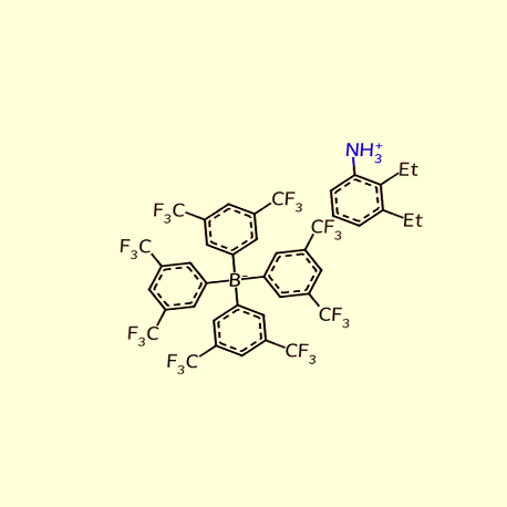 CCc1cccc([NH3+])c1CC.FC(F)(F)c1cc([B-](c2cc(C(F)(F)F)cc(C(F)(F)F)c2)(c2cc(C(F)(F)F)cc(C(F)(F)F)c2)c2cc(C(F)(F)F)cc(C(F)(F)F)c2)cc(C(F)(F)F)c1